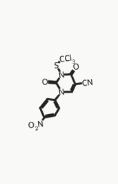 N#Cc1cn(-c2ccc([N+](=O)[O-])cc2)c(=O)n(SC(Cl)(Cl)Cl)c1=O